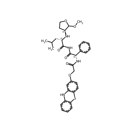 COC1OCC[C@@H]1N[C@@H](CC(C)C)C(=O)NC(=O)[C@@H](NC(=O)COc1ccc2c(c1)Nc1ccccc1S2)c1ccccc1